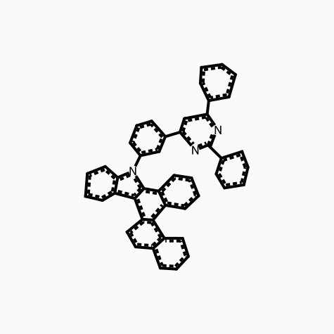 c1ccc(-c2cc(-c3cccc(-n4c5ccccc5c5c6ccc7ccccc7c6c6ccccc6c54)c3)nc(-c3ccccc3)n2)cc1